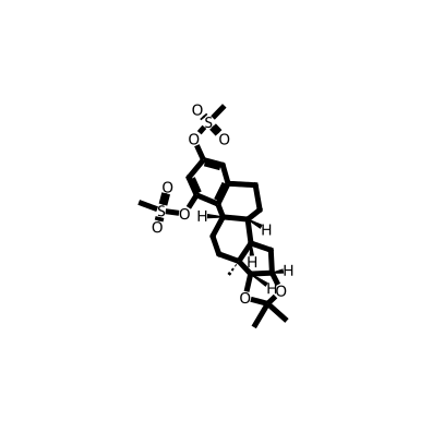 CC1(C)O[C@H]2C[C@H]3[C@H]4CCc5cc(OS(C)(=O)=O)cc(OS(C)(=O)=O)c5[C@H]4CC[C@]3(C)[C@H]2O1